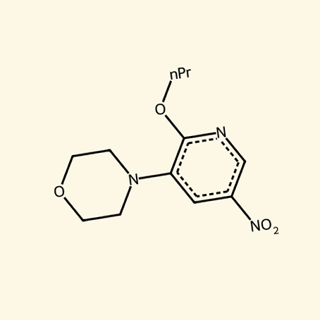 CCCOc1ncc([N+](=O)[O-])cc1N1CCOCC1